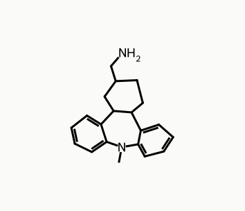 CN1c2ccccc2C2CCC(CN)CC2c2ccccc21